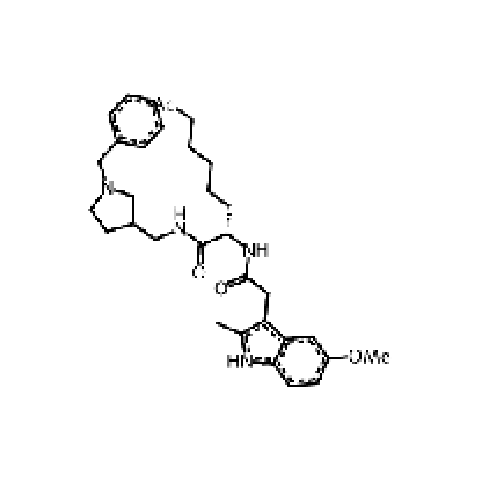 COc1ccc2[nH]c(C)c(CC(=O)N[C@@H](CCCCCC(C)=O)C(=O)NCC3CCN(Cc4ccccc4)C3)c2c1